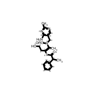 CC(=C(CCO)SC(=O)C(C)c1ccccc1)N(C=O)Cc1cnc(C)nc1N